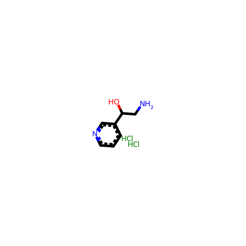 Cl.Cl.NCC(O)c1cccnc1